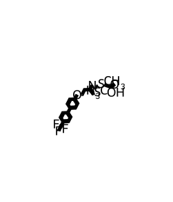 CC(C)(Sc1nc(CCOc2ccc(-c3ccc(C(F)(F)F)cc3)cc2)cs1)C(=O)O